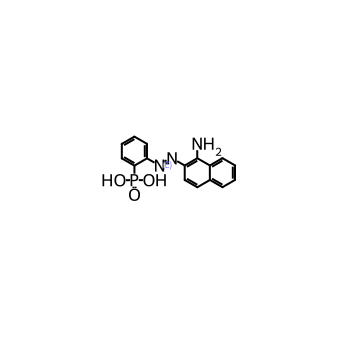 Nc1c(/N=N/c2ccccc2P(=O)(O)O)ccc2ccccc12